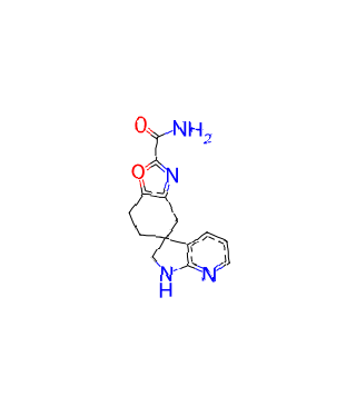 NC(=O)c1nc2c(o1)CCC1(CNc3ncccc31)C2